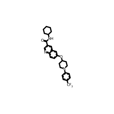 O=C(NC1CCCCC1)c1cnc2ccc(OC3CCN(c4ccc(C(F)(F)F)cc4)CC3)cc2c1